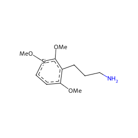 COc1cc[si](OC)c(OC)c1CCCN